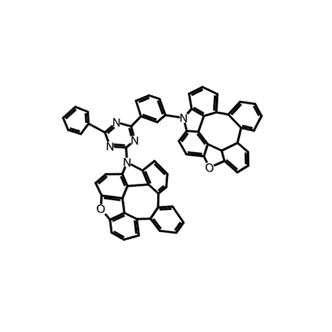 C1=CC2c3ccccc3-c3cccc4c3c3c5c(ccc3n4-c3cccc(-c4nc(-c6ccccc6)nc(-n6c7cccc8c9ccccc9c9cccc%10oc%11ccc6c(c%11c%109)c87)n4)c3)OC(=C1)C52